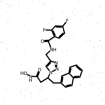 O=C(CC(Cc1ccc2ccccc2c1)n1cc(CNC(=O)c2ccc(F)cc2F)nn1)NO